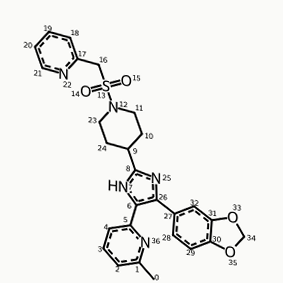 Cc1cccc(-c2[nH]c(C3CCN(S(=O)(=O)Cc4ccccn4)CC3)nc2-c2ccc3c(c2)OCO3)n1